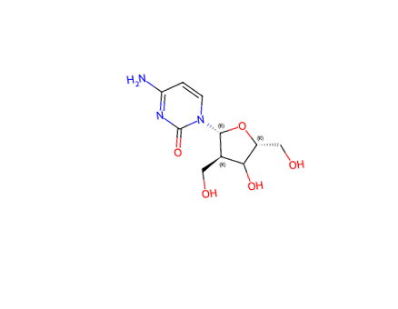 Nc1ccn([C@@H]2O[C@H](CO)C(O)[C@H]2CO)c(=O)n1